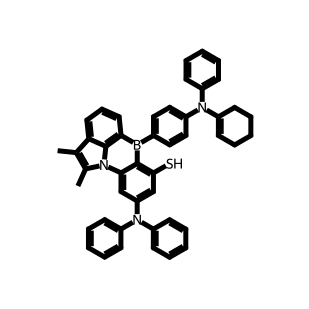 Cc1c(C)n2c3c(cccc13)B(c1ccc(N(C3=CCCCC3)c3ccccc3)cc1)c1c(S)cc(N(c3ccccc3)c3ccccc3)cc1-2